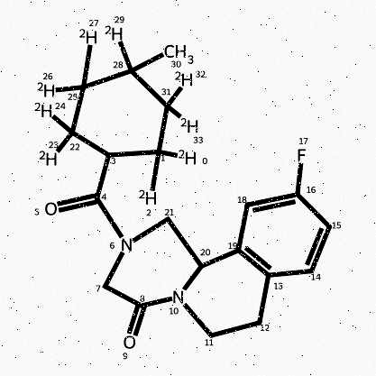 [2H]C1([2H])C(C(=O)N2CC(=O)N3CCc4ccc(F)cc4C3C2)C([2H])([2H])C([2H])([2H])C([2H])(C)C1([2H])[2H]